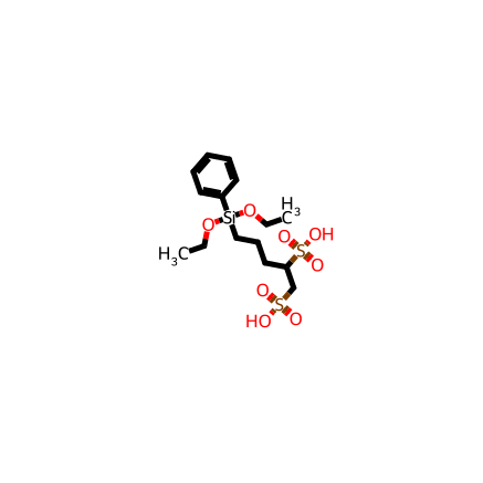 CCO[Si](CCCC(CS(=O)(=O)O)S(=O)(=O)O)(OCC)c1ccccc1